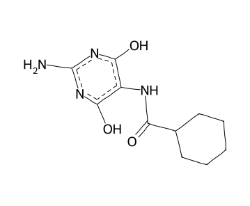 Nc1nc(O)c(NC(=O)C2CCCCC2)c(O)n1